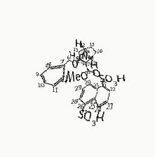 COC(=O)[C@H]1[C@@H](OCc2ccccc2)C[C@@H]2CC[C@H]1N2C.O=S(=O)(O)c1cccc2c(S(=O)(=O)O)cccc12